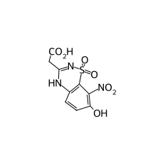 O=C(O)CC1=NS(=O)(=O)c2c(ccc(O)c2[N+](=O)[O-])N1